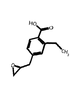 CCc1cc(CC2CO2)ccc1C(=O)O